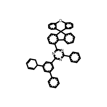 C1=CCC(c2cc(-c3ccccc3)cc(-c3nc(-c4ccccc4)nc(-c4cccc5c4-c4ccccc4C54c5ccccc5Oc5ccccc54)n3)c2)C=C1